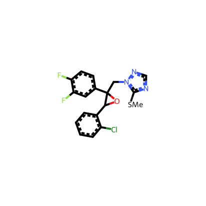 CSc1ncnn1CC1(c2ccc(F)c(F)c2)OC1c1ccccc1Cl